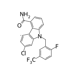 NC(=O)c1cccc2c1c1[c]cc(Cl)cc1n2Cc1cc(C(F)(F)F)ccc1F